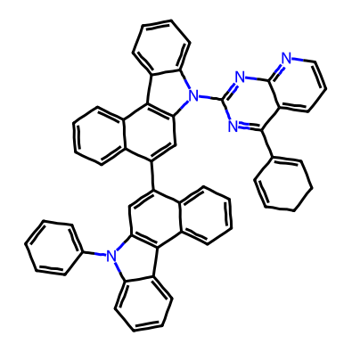 C1=CC(c2nc(-n3c4ccccc4c4c5ccccc5c(-c5cc6c(c7ccccc57)c5ccccc5n6-c5ccccc5)cc43)nc3ncccc23)=CCC1